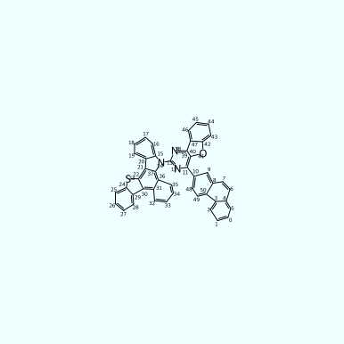 c1ccc2c(c1)ccc1cc(-c3nc(-n4c5ccccc5c5c6sc7ccccc7c6c6ccccc6c54)nc4c3oc3ccccc34)ccc12